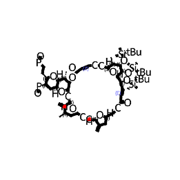 C=C1C[C@@H]2CCC(=O)/C=C/[C@H](O[Si](C)(C)C(C)(C)C)[C@@H]3O[C@@H](CC/C=C\C(=O)OC4C(C[C@H]5OC(CC[C@@H]1O2)C[C@@H](C)C5=C)O[C@H]1C[C@@H](P=O)[C@@H](CCP=O)O[C@H]1[C@@H]4C)[C@H](C)[C@H](O[Si](C)(C)C(C)(C)C)[C@@H]3O[Si](C)(C)C(C)(C)C